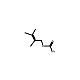 CCCC(=O)OCC(I)=C(I)I